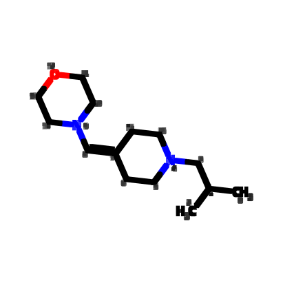 C[C](C)CN1CCC(=CN2CCOCC2)CC1